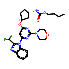 CCCCOC(=O)N[C@H]1CC[C@H](Oc2cc(-n3c(C(F)F)nc4ccccc43)nc(N3CCOCC3)n2)C1